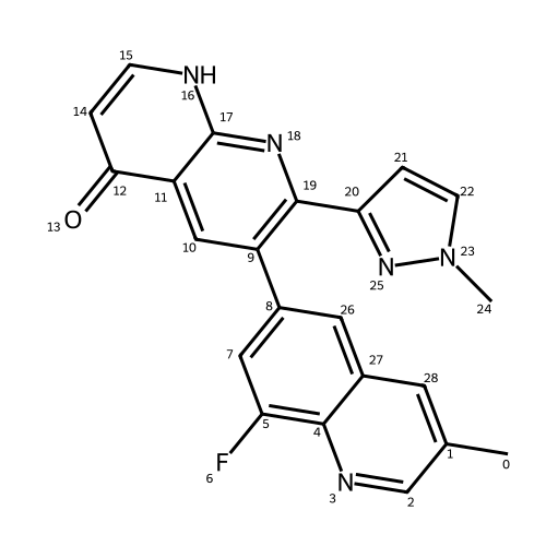 Cc1cnc2c(F)cc(-c3cc4c(=O)cc[nH]c4nc3-c3ccn(C)n3)cc2c1